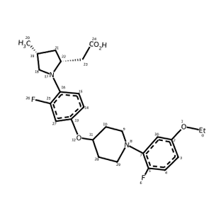 CCOc1ccc(F)c(N2CCC(Oc3ccc(N4C[C@H](C)C[C@@H]4CC(=O)O)c(F)c3)CC2)c1